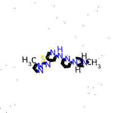 Cc1ccnn1-c1nc2cc(Nc3cccc(N4C[C@@H]5C[C@H]4CN5C)n3)ncc2s1